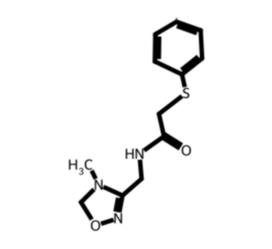 CN1CON=C1CNC(=O)CSc1cc[c]cc1